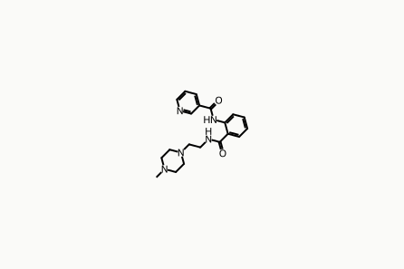 CN1CCN(CCNC(=O)c2ccccc2NC(=O)c2cccnc2)CC1